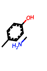 CN.Cc1ccc(O)cc1